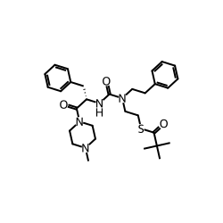 CN1CCN(C(=O)[C@H](Cc2ccccc2)NC(=O)N(CCSC(=O)C(C)(C)C)CCc2ccccc2)CC1